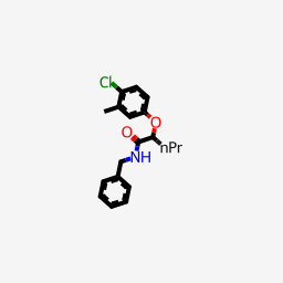 CCCC(Oc1ccc(Cl)c(C)c1)C(=O)NCc1ccccc1